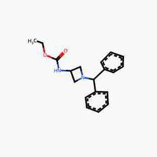 CCOC(=O)NC1CN(C(c2ccccc2)c2ccccc2)C1